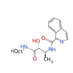 CCCCCCCCNC(=O)[C@H](O)[C@H](C)NC(=O)c1nccc2ccccc12